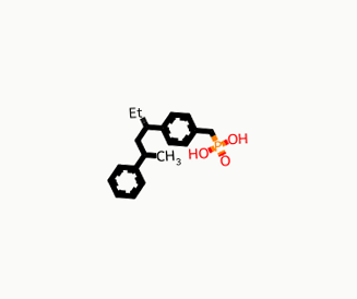 CCC(CC(C)c1ccccc1)c1ccc(CP(=O)(O)O)cc1